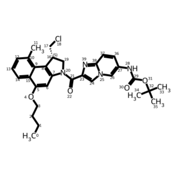 CCCCOc1cc2c(c3c(C)cccc13)[C@H](CCl)CN2C(=O)c1cn2cc(NC(=O)OC(C)(C)C)ccc2n1